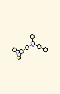 c1ccc(-c2ccc(-c3cc(-c4ccccc4)nc(-c4ccc(-c5cc6c7ccccc7n7c8sccc8c(c5)c67)cc4)n3)cc2)cc1